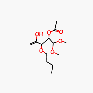 C=C(O)C(OCCCC)C(OC(C)=O)C(OC)OC